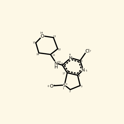 [O-][S+]1CCc2nc(Cl)nc(NC3CCOCC3)c21